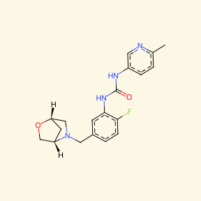 Cc1ccc(NC(=O)Nc2cc(CN3C[C@@H]4C[C@H]3CO4)ccc2F)cn1